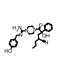 CCCC(C#N)CC(O)(C(=O)N1CCN(C(N)=NCc2ccc(O)cc2)CC1)c1ccccc1